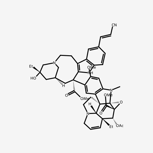 CC[C@]1(O)C[C@H]2CN(CCc3c([nH]c4ccc(/C=C/C#N)cc34)[C@@](C(=O)OC)(c3cc4c(cc3OC)N(C)[C@@]35O[C@]3(C(=O)OC)[C@H](OC(C)=O)[C@]3(CC)C=CCN6CC[C@]45[C@@H]63)C2)C1